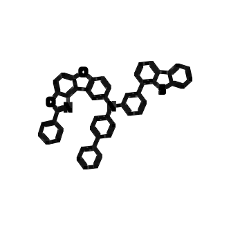 c1ccc(-c2ccc(N(c3cccc(-c4cccc5c4sc4ccccc45)c3)c3ccc4oc5ccc6oc(-c7ccccc7)nc6c5c4c3)cc2)cc1